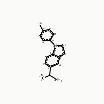 NC(c1ccc2c(cnn2-c2ccc(F)cc2)c1)C(F)(F)F